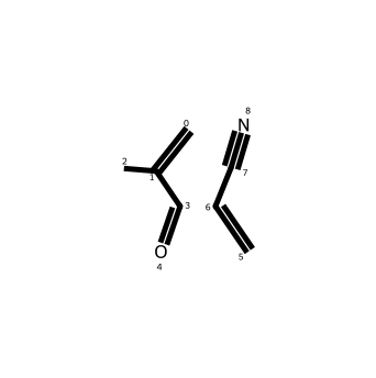 C=C(C)C=O.C=CC#N